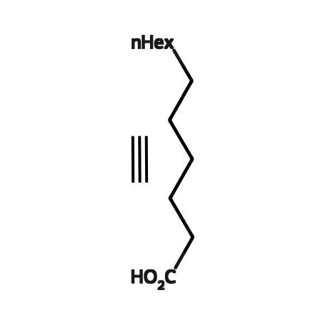 C#C.CCCCCCCCCCCC(=O)O